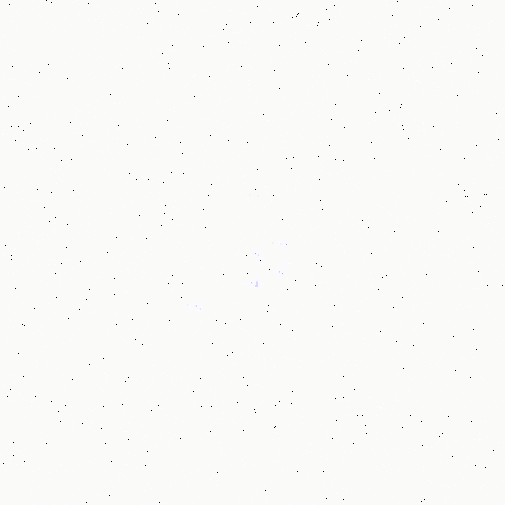 ClC(Cl)(Cl)c1nc(NCCc2ccccn2)nc(-c2ccccc2)n1